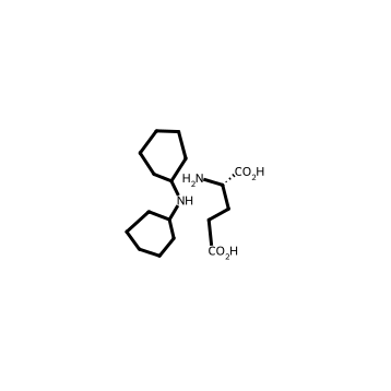 C1CCC(NC2CCCCC2)CC1.N[C@@H](CCC(=O)O)C(=O)O